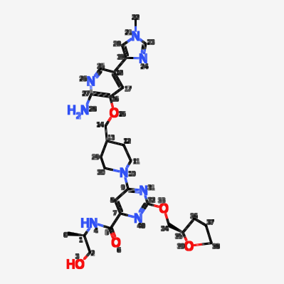 C[C@H](CO)NC(=O)c1cc(N2CCC(COc3cc(-c4cn(C)cn4)cnc3N)CC2)nc(OC[C@H]2CCCO2)n1